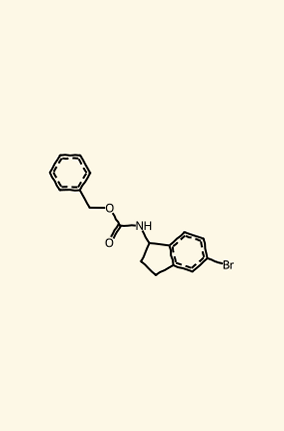 O=C(NC1CCc2cc(Br)ccc21)OCc1ccccc1